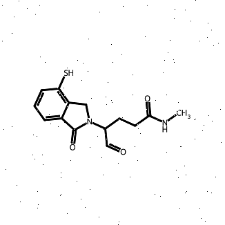 CNC(=O)CCC(C=O)N1Cc2c(S)cccc2C1=O